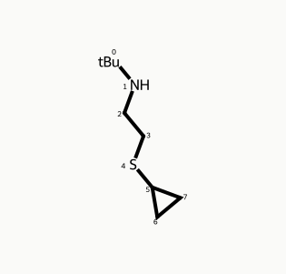 CC(C)(C)NCCSC1CC1